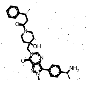 C[C@H](N)c1ccc(-c2c3ncn(CC4(O)CCN(C(=O)C[C@@H](C)c5ccccc5)CC4)c(=O)c3nn2C)cc1